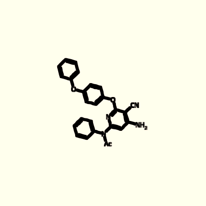 CC(=O)N(c1ccccc1)c1cc(N)c(C#N)c(Oc2ccc(Oc3ccccc3)cc2)n1